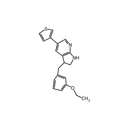 CCOc1cccc(CC2CNc3ncc(-c4ccsc4)cc32)c1